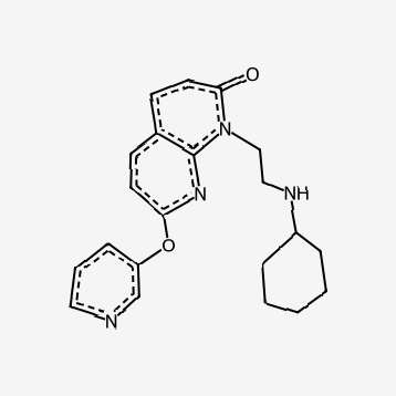 O=c1ccc2ccc(Oc3cccnc3)nc2n1CCNC1CCCCC1